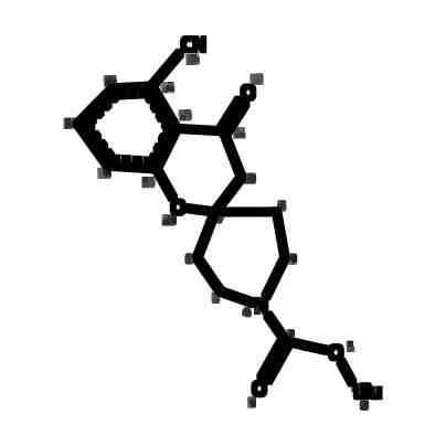 CC(C)(C)OC(=O)N1CCC2(CC1)CC(=O)c1c(C#N)cccc1O2